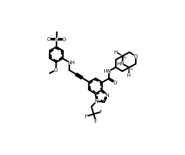 COc1ccc(S(C)(=O)=O)cc1NCC#Cc1cc(C(=O)NC2C[C@H]3COC[C@@H](C2)N3)c2ncn(CC(F)(F)F)c2c1